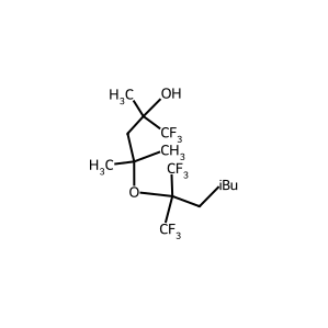 CCC(C)CC(OC(C)(C)CC(C)(O)C(F)(F)F)(C(F)(F)F)C(F)(F)F